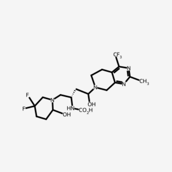 Cc1nc2c(c(C(F)(F)F)n1)CCN(C(O)C[C@@H](CN1CC(F)(F)CCC1O)NC(=O)O)C2